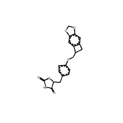 O=C1NC(=O)C(Cc2ccc(OCC3Cc4cc5c(cc43)OCO5)cc2)S1